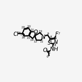 CC(=O)Nc1nc(F)c(CN2CCC3(Cc4cc(Cl)ccc4O3)C2)s1